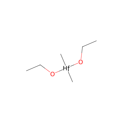 CC[O][Hf]([CH3])([CH3])[O]CC